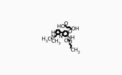 C=CCCOC(=O)Nc1cccc2c3cccc(CNC(C)C)c3nc-2c1.O=C(O)C=CC(=O)O